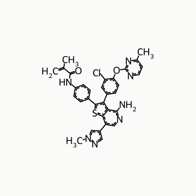 C=C(C)C(=O)Nc1ccc(-c2sc3c(-c4cnn(C)c4)cnc(N)c3c2-c2ccc(Oc3nccc(C)n3)c(Cl)c2)cc1